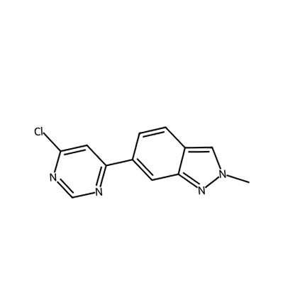 Cn1cc2ccc(-c3cc(Cl)ncn3)cc2n1